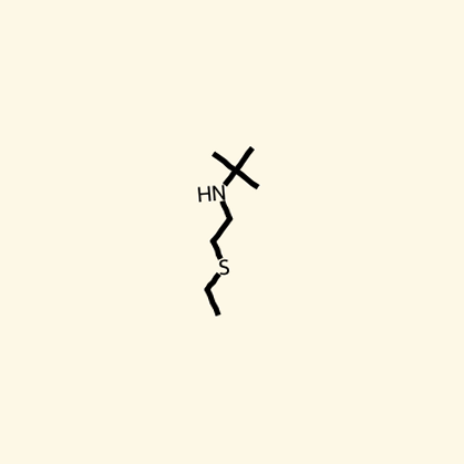 CCSCCNC(C)(C)C